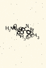 COc1cc(C2C(C#N)=COC3C2=CC=C2N=CC(NCC(N)=O)=C23)cc(Br)c1OC